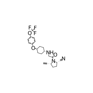 C#C[C@H]1CC[C@@H](C#N)N1C(=O)CN[C@H]1CC[C@H](Oc2ccc(OC(F)(F)F)cc2)CC1